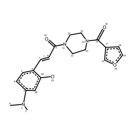 CN(C)c1ccc(/C=C/C(=O)N2CCN(C(=O)c3ccoc3)CC2)c(Cl)c1